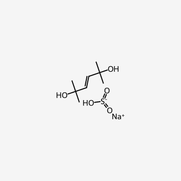 CC(C)(O)C=CC(C)(C)O.O=[S-](=O)O.[Na+]